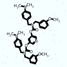 COc1cccc(CN(Cc2ccc(N(C)C)cc2)C(=O)Oc2cncc(OC(=O)N(Cc3ccc(N(C)C)cc3)Cc3cccc(OC)c3)c2)c1